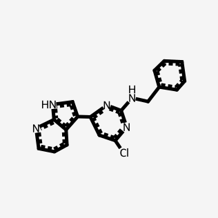 Clc1cc(-c2c[nH]c3ncccc23)nc(NCc2ccccc2)n1